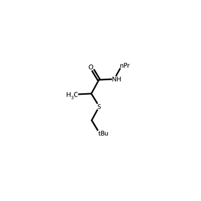 CCCNC(=O)C(C)SCC(C)(C)C